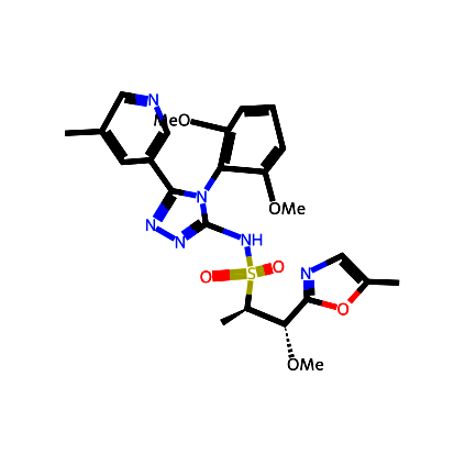 COc1cccc(OC)c1-n1c(NS(=O)(=O)[C@H](C)[C@@H](OC)c2ncc(C)o2)nnc1-c1cncc(C)c1